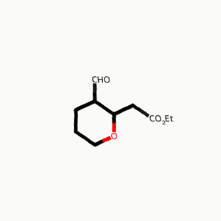 CCOC(=O)CC1OCCCC1C=O